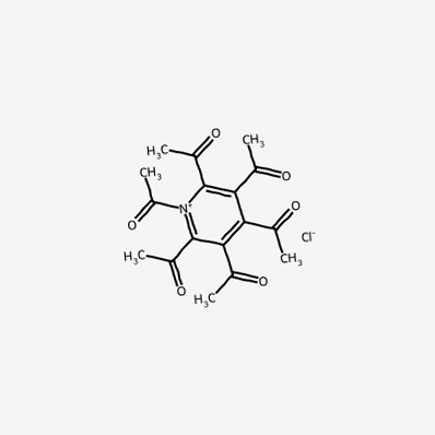 CC(=O)c1c(C(C)=O)c(C(C)=O)[n+](C(C)=O)c(C(C)=O)c1C(C)=O.[Cl-]